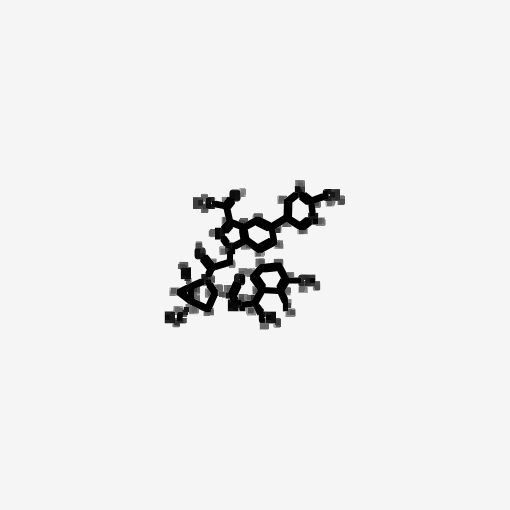 CC(=O)c1nn(CC(=O)N2[C@H](C(=O)N[C@H](C)c3cccc(C)c3F)C[C@@]3(C)C[C@@H]23)c2ccc(-c3cnc(C)nc3)cc12